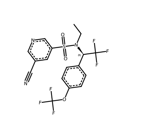 CCN([C@H](c1ccc(OC(F)(F)F)cc1)C(F)(F)F)S(=O)(=O)c1cncc(C#N)c1